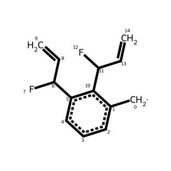 [CH2]c1cccc(C(F)C=C)c1C(F)C=C